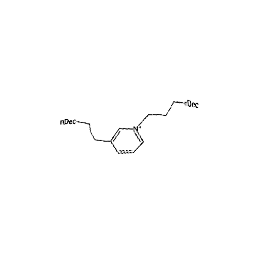 CCCCCCCCCCCCC[n+]1cccc(CCCCCCCCCCCC)c1